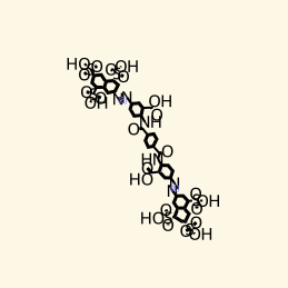 O=C(Nc1ccc(/N=N/c2cc(S(=O)(=O)O)c3cc(S(=O)(=O)O)cc(S(=O)(=O)O)c3c2)cc1C(=O)O)c1ccc(C(=O)Nc2ccc(/N=N/c3cc(S(=O)(=O)O)c4cc(S(=O)(=O)O)cc(S(=O)(=O)O)c4c3)cc2C(=O)O)cc1